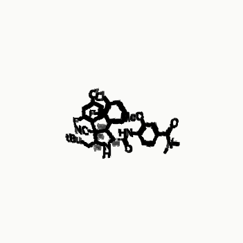 COc1cc(C(=O)N(C)C)ccc1NC(=O)[C@@H]1N[C@@H](CC(C)(C)C)[C@](C#N)(c2ccc(Cl)cc2F)[C@H]1c1cccc(Cl)c1F